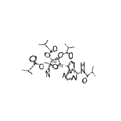 CC(C)C(=O)Nc1ncnn2c([C@@H]3O[C@](C#N)(COC(=O)C(C)C)[C@@H](OC(=O)C(C)C)[C@H]3OC(=O)C(C)C)ccc12